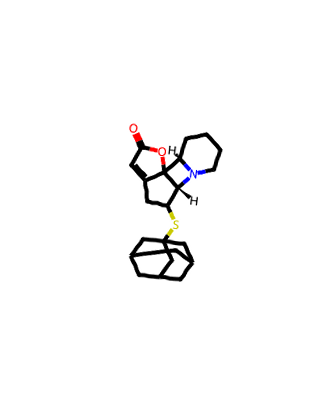 O=C1C=C2CC(SC34CC5CC(CC(C5)C3)C4)[C@H]3N4CCCC[C@@H]4C23O1